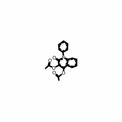 CC(=O)Oc1c(OC(C)=O)c2ccccc2n(-c2ccccc2)c1=O